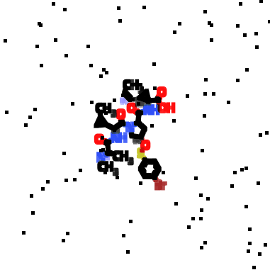 C/C=C\[C@@H]1C[C@]1(NC(=O)C1C[C@H](OSc2ccc(Br)cc2)CN1C(=O)[C@@H](NC(=O)/C(C)=N/C)C1CC1C)C(=O)O